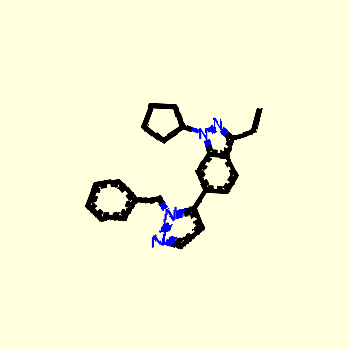 CCc1nn(C2CCCC2)c2cc(-c3ccnn3Cc3ccccc3)ccc12